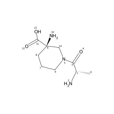 C[C@H](N)C(=O)N1CCC[C@](N)(C(=O)O)C1